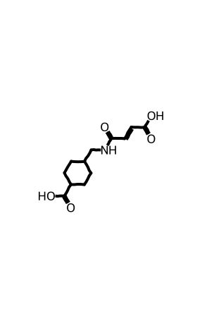 O=C(O)C=CC(=O)NCC1CCC(C(=O)O)CC1